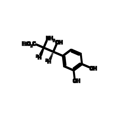 [2H][C@](N)(C(=O)OCC)[C@@]([2H])(O)c1ccc(O)c(O)c1